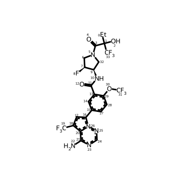 CCC(O)(C(=O)N1C[C@H](F)[C@H](NC(=O)c2cc(-c3cc(C(F)(F)F)c4c(N)ncnn34)ccc2OC(F)(F)F)C1)C(F)(F)F